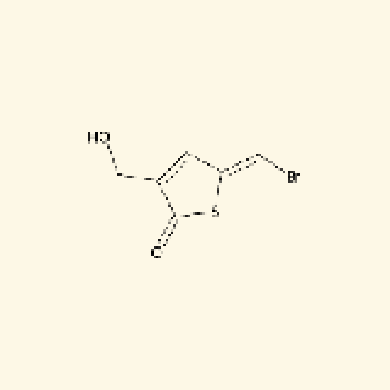 O=C1SC(=CBr)C=C1CO